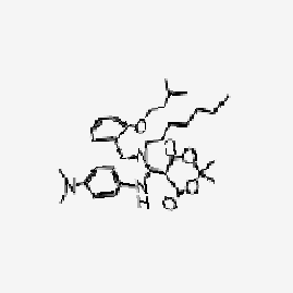 CCCCCCCN(Cc1ccccc1OCCC(C)C)C(Nc1ccc(N(C)C)cc1)=C1C(=O)OC(C)(C)OC1=O